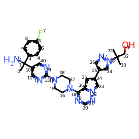 CC(N)(c1ccc(F)cc1)c1cnc(N2CCN(c3ncnn4cc(-c5cnn(C(C)(C)CO)c5)cc34)CC2)nc1